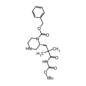 CC(C)(C)OC(=O)NC(=O)C(C)(C)C[C@H]1CNCCN1C(=O)OCc1ccccc1